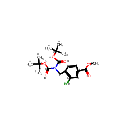 COC(=O)c1ccc(CN(C(=O)OC(C)(C)C)C(=O)OC(C)(C)C)c(Br)c1